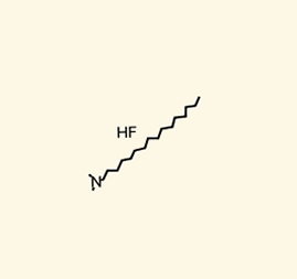 CCCCCCCCCCCCCCCCN(C)C.F